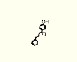 O=C(CCCc1ccccc1)c1ccc(O)cc1